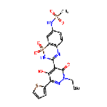 CC(C)(C)Cn1nc(-c2cccs2)c(O)c(C2=Nc3ccc(NS(C)(=O)=O)cc3S(=O)(=O)N2)c1=O